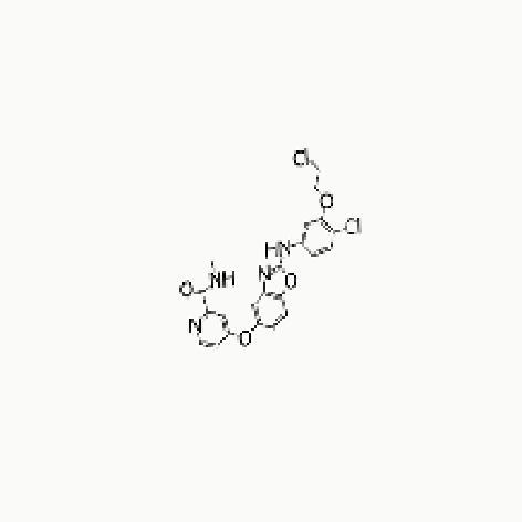 CNC(=O)c1cc(Oc2ccc3oc(Nc4ccc(Cl)c(OCCCl)c4)nc3c2)ccn1